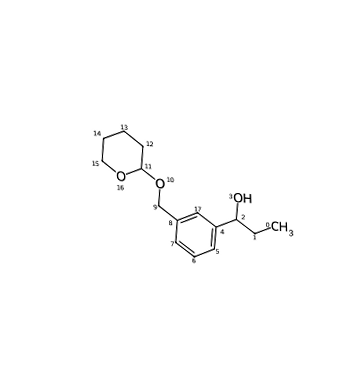 CCC(O)c1cccc(COC2CCCCO2)c1